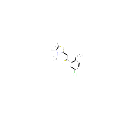 CCCCN1C(=CC(=S)c2cc(Cl)ccc2OC)SC(C)=C1C